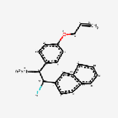 C=CCOc1ccc(C(CCCCC)C(F)c2ccc3ccccc3c2)cc1